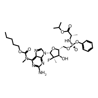 CCCCCOC(=O)N(C)c1nc(N)nc2c1ncn2[C@@H]1O[C@H](COP(=O)(N[C@@H](C)C(=O)OC(C)C)Oc2ccccc2)[C@@H](O)[C@@]1(C)F